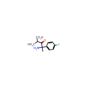 CC(N)(C(=O)C(C(=O)O)C(=O)O)c1ccc(F)cc1